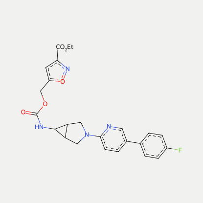 CCOC(=O)c1cc(COC(=O)NC2C3CN(c4ccc(-c5ccc(F)cc5)cn4)CC32)on1